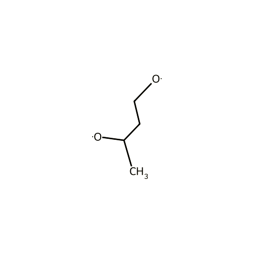 CC([O])CC[O]